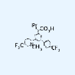 CC(C)CC(C(=O)O)c1cc(-c2ccc(C(F)(F)F)cc2)cc(C2CCC(C(F)(F)F)CN2C)c1